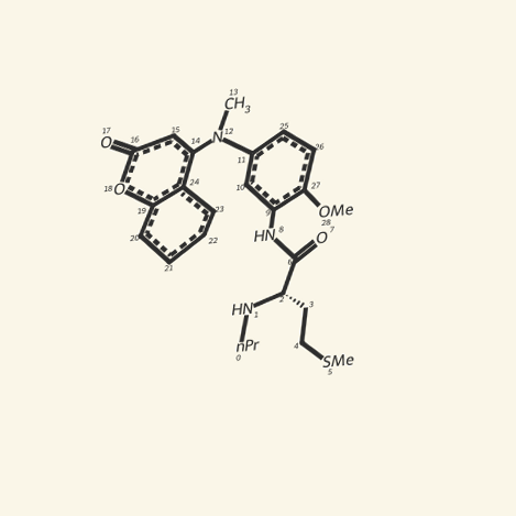 CCCN[C@@H](CCSC)C(=O)Nc1cc(N(C)c2cc(=O)oc3ccccc23)ccc1OC